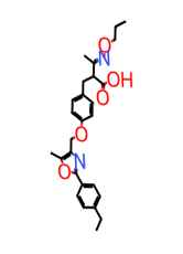 CCCO/N=C(\C)C(Cc1ccc(OCc2nc(-c3ccc(CC)cc3)oc2C)cc1)C(=O)O